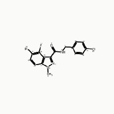 Cn1nc(C(=O)NCc2ccc(Cl)cc2)c2c(F)c(Br)ccc21